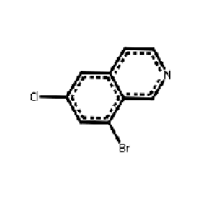 Clc1cc(Br)c2cnccc2c1